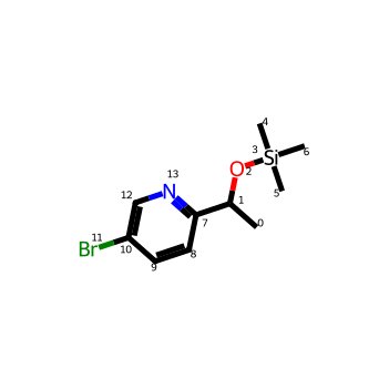 CC(O[Si](C)(C)C)c1ccc(Br)cn1